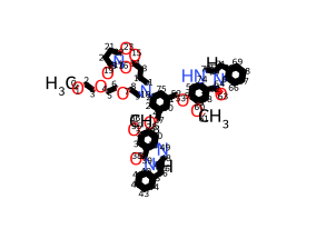 COCCOCCOCCN(CCCC(=O)ON1C(=O)CCC1=O)c1cc(COc2cc3c(cc2OC)C(=O)N2c4ccccc4C[C@H]2C=N3)cc(COc2cc3c(cc2OC)C(=O)N2c4ccccc4C[C@H]2CN3)c1